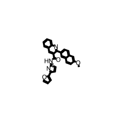 COc1ccc2cc(-c3nc4ccccc4cc3C(=O)Nn3ccc(-c4ccco4)n3)ccc2c1